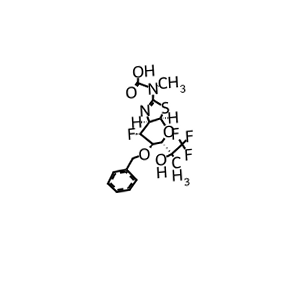 CN(C(=O)O)C1=N[C@@H]2[C@@H](F)[C@H](OCc3ccccc3)[C@@H](C(C)(O)C(F)(F)F)O[C@@H]2S1